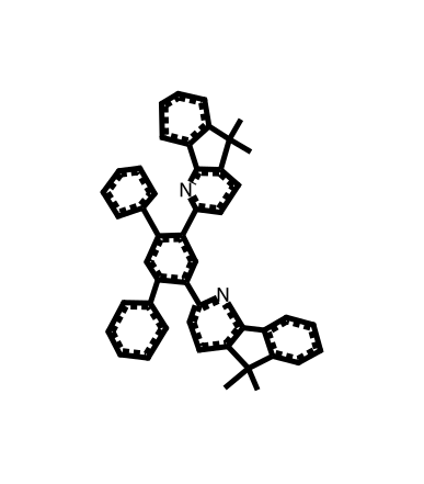 CC1(C)c2ccccc2-c2nc(-c3cc(-c4ccc5c(n4)-c4ccccc4C5(C)C)c(-c4ccccc4)cc3-c3ccccc3)ccc21